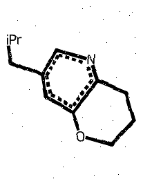 CC(C)Cc1cnc2c(c1)OCCC2